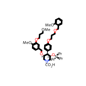 COCCCOc1cc(CO[C@H]2CN(C(=O)O)C[C@@H](O[Si](C(C)C)(C(C)C)C(C)C)[C@@H]2c2ccc(OCCCOCc3ccccc3OC)cc2)ccc1OC